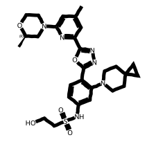 Cc1cc(-c2nnc(-c3ccc(NS(=O)(=O)CCO)cc3N3CCC4(CC3)CC4)o2)nc(N2CCO[C@H](C)C2)c1